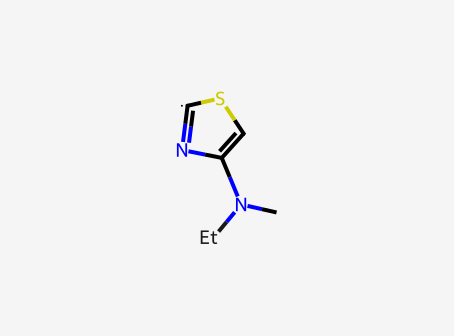 CCN(C)c1cs[c]n1